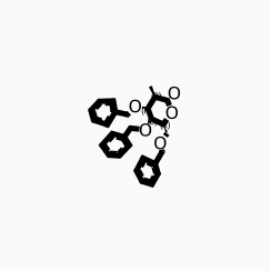 C[C@H]1C(=O)O[C@H](COCc2ccccc2)[C@@H](OCc2ccccc2)[C@@H]1OCc1ccccc1